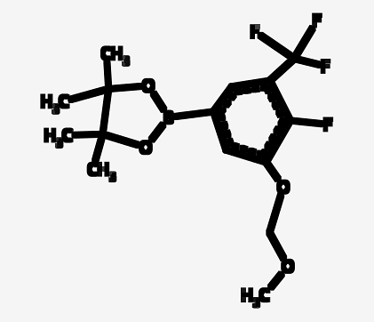 COCOc1cc(B2OC(C)(C)C(C)(C)O2)cc(C(F)(F)F)c1F